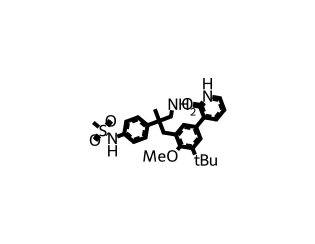 COc1c(CC(C)(CN)c2ccc(NS(C)(=O)=O)cc2)cc(-c2ccc[nH]c2=O)cc1C(C)(C)C